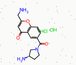 Cl.Cl.NCc1cc(=O)c2cc(C(=O)N3CC[C@@H](N)C3)ccc2o1